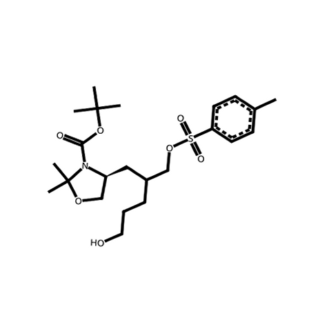 Cc1ccc(S(=O)(=O)OCC(CCCO)C[C@H]2COC(C)(C)N2C(=O)OC(C)(C)C)cc1